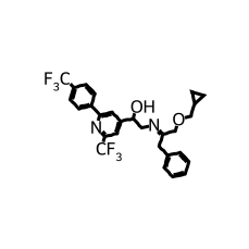 OC(C/N=C(/COCC1CC1)Cc1ccccc1)c1cc(-c2ccc(C(F)(F)F)cc2)nc(C(F)(F)F)c1